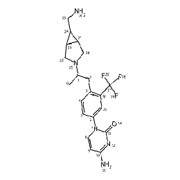 CC(Cc1ccc(-n2ccc(N)nc2=O)cc1C(F)(F)F)N1CC2C(CN)C2C1